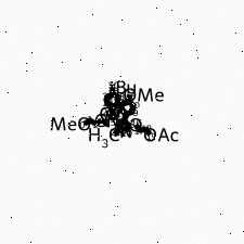 COCCOCN(c1c(-c2ccc(OC)cc2)c(OCCOC(C)=O)nn1C)S(=O)(=O)c1ccc(C(C)(C)C)cc1